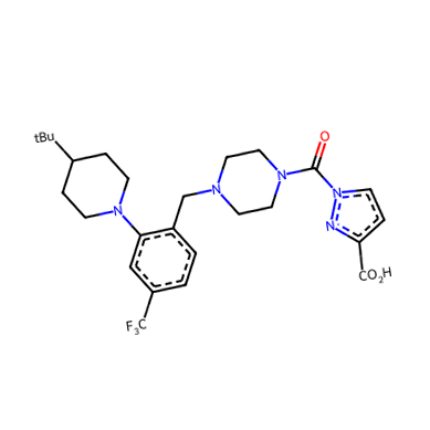 CC(C)(C)C1CCN(c2cc(C(F)(F)F)ccc2CN2CCN(C(=O)n3ccc(C(=O)O)n3)CC2)CC1